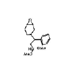 CO[SiH](CC(c1ccccc1)C1CCC2OC2C1)OC